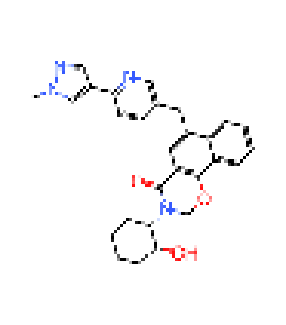 Cn1cc(-c2ccc(Cc3cc4c(c5ccccc35)OCN([C@H]3CCCC[C@@H]3O)C4=O)cn2)cn1